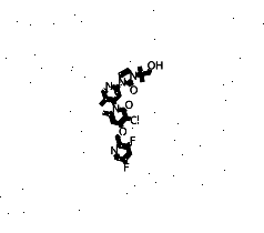 Cc1cnc(-n2ccn(C(C)(C)CO)c2=O)cc1-n1c(C)cc(OCc2ncc(F)cc2F)c(Cl)c1=O